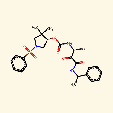 CCCC[C@H](NC(=O)O[C@@H]1CN(S(=O)(=O)c2ccccc2)CC1(C)C)C(=O)C(=O)N[C@H](C)c1ccccc1